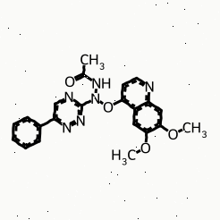 COc1cc2nccc(ON(NC(C)=O)c3ncc(-c4ccccc4)nn3)c2cc1OC